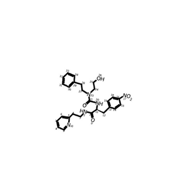 O=C(NCCc1ccccn1)[C@H](Cc1ccc([N+](=O)[O-])cc1)NC(=O)N(CCO)CCc1ccccc1